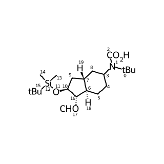 CC(C)(C)N(C(=O)O)C1CC[C@@H]2[C@@H](C1)C[C@H](O[Si](C)(C)C(C)(C)C)[C@H]2C=O